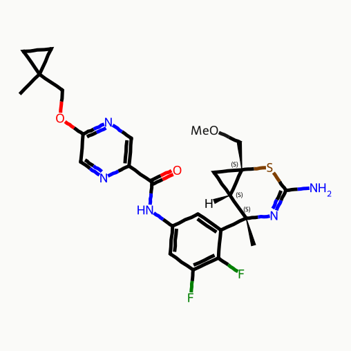 COC[C@]12C[C@H]1[C@@](C)(c1cc(NC(=O)c3cnc(OCC4(C)CC4)cn3)cc(F)c1F)N=C(N)S2